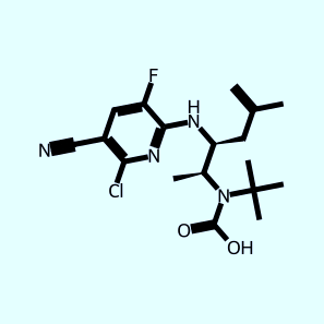 C=C(C)C[C@H](Nc1nc(Cl)c(C#N)cc1F)[C@H](C)N(C(=O)O)C(C)(C)C